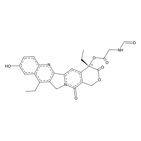 CCc1c2c(nc3ccc(O)cc13)-c1cc3c(c(=O)n1C2)COC(=O)[C@@]3(CC)OC(=O)CNC=O